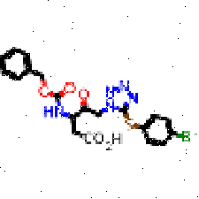 O=C(O)CC(NC(=O)OCc1ccccc1)C(=O)Cn1nnnc1Sc1ccc(Br)cc1